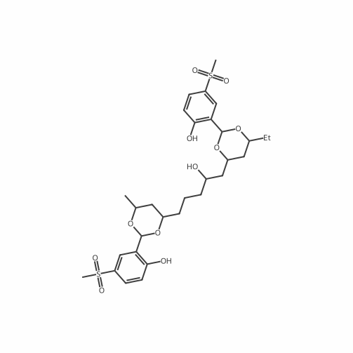 CCC1CC(CC(O)CCCC2CC(C)OC(c3cc(S(C)(=O)=O)ccc3O)O2)OC(c2cc(S(C)(=O)=O)ccc2O)O1